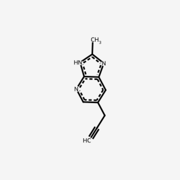 C#CCc1cnc2[nH]c(C)nc2c1